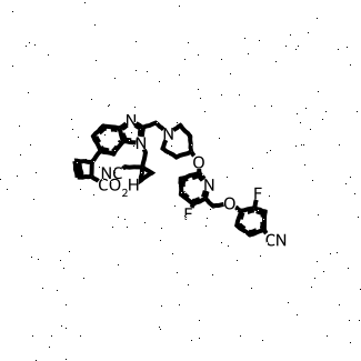 N#CCC1(Cn2c(CN3CCC(Oc4ccc(F)c(COc5ccc(C#N)cc5F)n4)CC3)nc3ccc(C4C#CC4C(=O)O)cc32)CC1